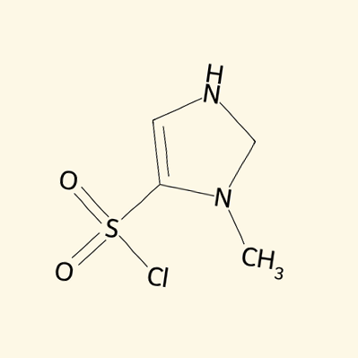 CN1CNC=C1S(=O)(=O)Cl